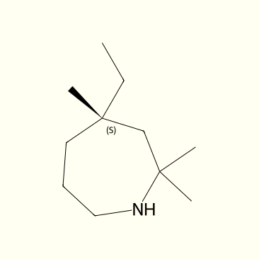 CC[C@@]1(C)CCCNC(C)(C)C1